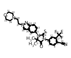 CC1(C)C(=O)N(c2ccc(C#N)c(C(F)(F)F)c2)C(=S)N1c1ccc2nn(CCN3CCOCC3)cc2c1